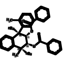 CCCC[C@@]1(c2ccccc2C)c2ccccc2[C@@](C)(CCCC)[C@@H](OC(=O)c2ccccc2)[C@H]1OC(=O)c1ccccc1